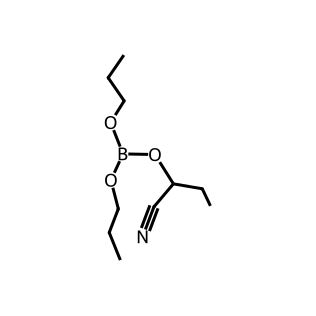 CCCOB(OCCC)OC(C#N)CC